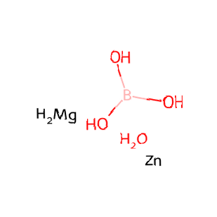 O.OB(O)O.[MgH2].[Zn]